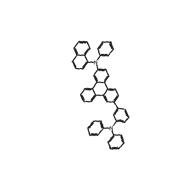 c1ccc(N(c2ccccc2)c2cccc(-c3ccc4c5ccc(N(c6ccccc6)c6cccc7ccccc67)cc5c5ccccc5c4c3)c2)cc1